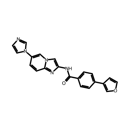 O=C(Nc1cn2cc(-n3ccnc3)ccc2n1)c1ccc(-c2ccoc2)cc1